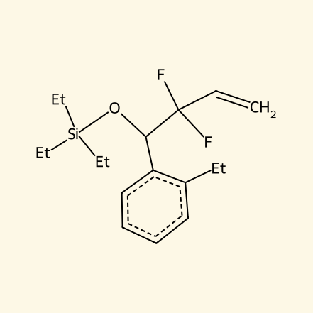 C=CC(F)(F)C(O[Si](CC)(CC)CC)c1ccccc1CC